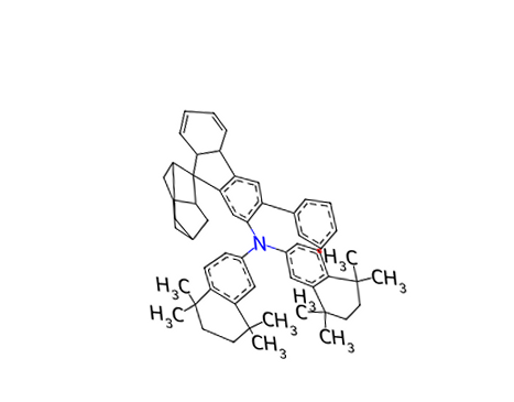 CC1(C)CCC(C)(C)c2cc(N(c3ccc4c(c3)C(C)(C)CCC4(C)C)c3cc4c(cc3-c3ccccc3)C3C=CC=CC3C43C4CC5CC(C4)C3C5)ccc21